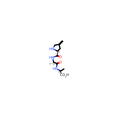 C=C1CN[C@H](C(=O)N[C@@H](C)C(=O)N[C@@H](C)C(=O)O)C1